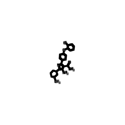 CN1CCCC(n2nc(-c3ccc(Oc4ccccc4Cl)cc3)c(C(N)=O)c2N)C1